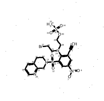 C#Cc1cc([N+](=O)[O-])cc(S(=O)(=O)N2CCc3cccnc3C2)c1N(CCBr)CCOS(C)(=O)=O